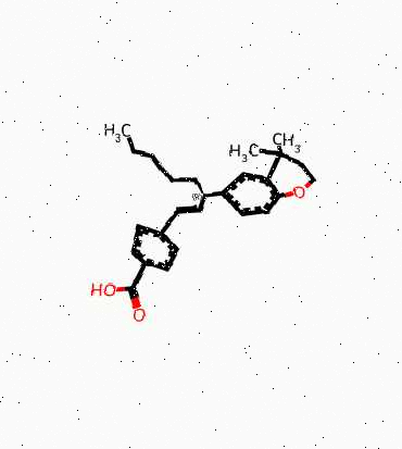 CCCCC[C@H](C=Cc1ccc(C(=O)O)cc1)c1ccc2c(c1)C(C)(C)CCO2